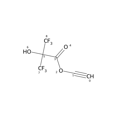 C#COC(=O)C(O)(C(F)(F)F)C(F)(F)F